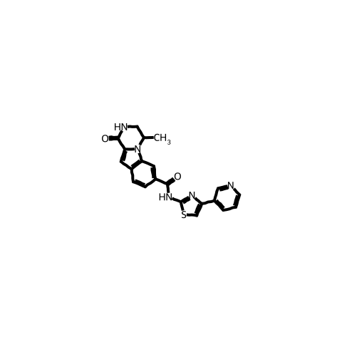 CC1CNC(=O)c2cc3ccc(C(=O)Nc4nc(-c5cccnc5)cs4)cc3n21